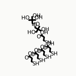 O=C(O)CCS.O=C(O)CCS.O=C(O)CCS.O=C(O)CCS.O=C(O)CCS.OCC(CO)(CO)COCC(CO)(CO)CO